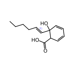 CCCC/C=C/C1(O)C=CC=CC1C(=O)O